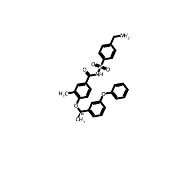 Cc1cc(C(=O)NS(=O)(=O)c2ccc(CN)cc2)ccc1O[C@H](C)c1cccc(Oc2ccccc2)c1